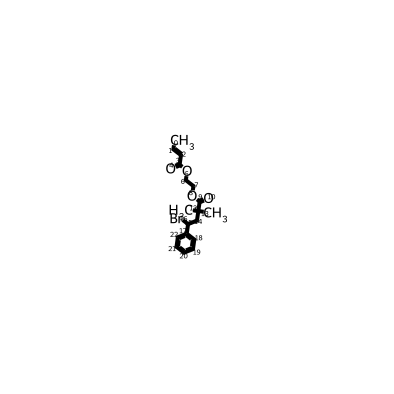 C/C=C/C(=O)OCCOC(=O)C(C)(C)CC(Br)c1ccccc1